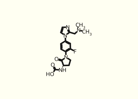 CN(C)Cc1nccn1-c1ccc(N2CC[C@H](NC(=O)O)C2=O)c(F)c1